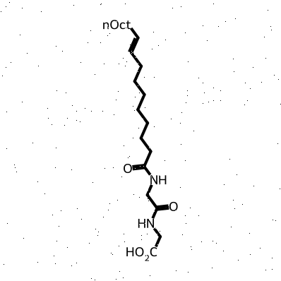 CCCCCCCCC=CCCCCCCCC(=O)NCC(=O)NCC(=O)O